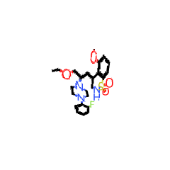 CCOCC(CC1CNS(=O)(=O)c2cccc(OC)c21)N1CCN(c2ccccc2F)CC1